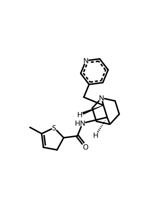 CC1=CCC(C(=O)N[C@@H]2C3CCN(CC3)[C@H]2Cc2cccnc2)S1